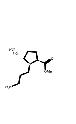 COC(=O)[C@@H]1CCCN1CCCN.Cl.Cl